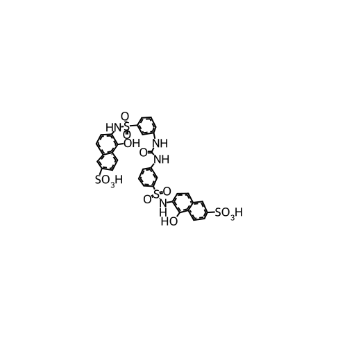 O=C(Nc1cccc(S(=O)(=O)Nc2ccc3cc(S(=O)(=O)O)ccc3c2O)c1)Nc1cccc(S(=O)(=O)Nc2ccc3cc(S(=O)(=O)O)ccc3c2O)c1